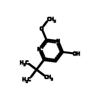 COc1nc(O)cc(C(C)(C)C)n1